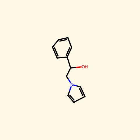 OC(Cn1cccc1)c1ccccc1